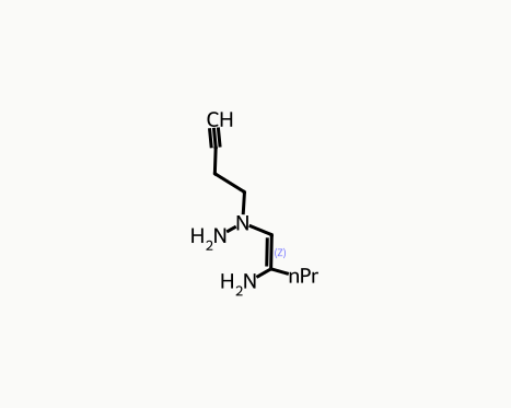 C#CCCN(N)/C=C(\N)CCC